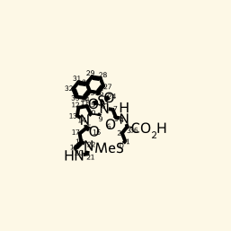 CSCC[C@H](NC(=O)CN(C[C@@H]1CCCN1C(=O)Cc1c[nH]cn1)S(=O)(=O)c1cccc2ccccc12)C(=O)O